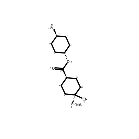 CCCCC[C@]1(C#N)CC[C@@H](C(=O)O[C@H]2CC[C@H](CCC)CC2)CC1